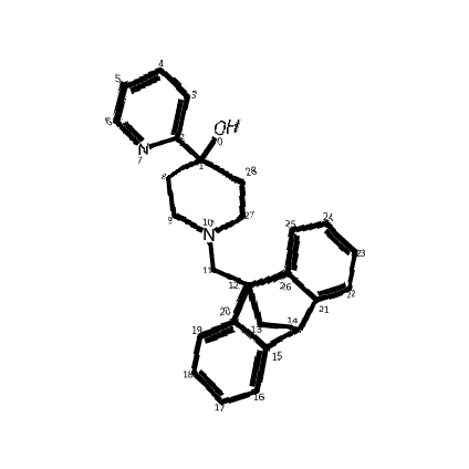 OC1(c2ccccn2)CCN(CC23CC(c4ccccc42)c2ccccc23)CC1